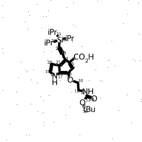 CC(C)[Si](C#Cc1c(C(=O)O)cc(OCCNC(=O)OC(C)(C)C)c2[nH]ccc12)(C(C)C)C(C)C